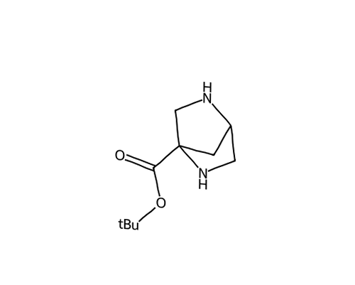 CC(C)(C)OC(=O)C12CNC(CN1)C2